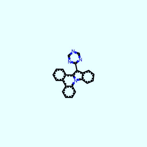 c1ccc2c(c1)c(-c1ncncn1)c1c3ccccc3c3ccccc3n21